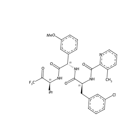 COc1cccc([C@H](NC(=O)[C@H](Cc2cccc(Cl)c2)NC(=O)c2ncccc2C)C(=O)N[C@H](C(=O)C(F)(F)F)C(C)C)c1